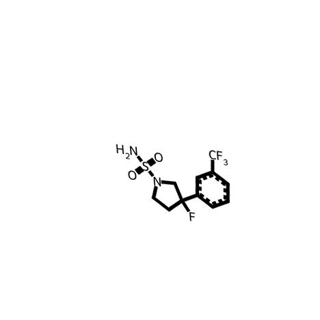 NS(=O)(=O)N1CCC(F)(c2cccc(C(F)(F)F)c2)C1